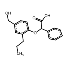 CCCc1cc(CO)ccc1OC(C(=O)O)c1ccccc1